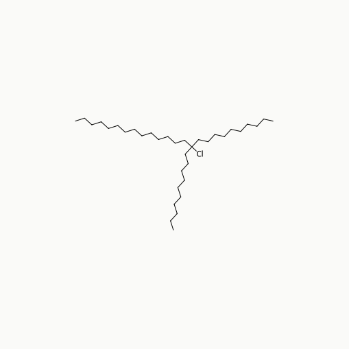 CCCCCCCCCCCCCCC(Cl)(CCCCCCCCCC)CCCCCCCCCC